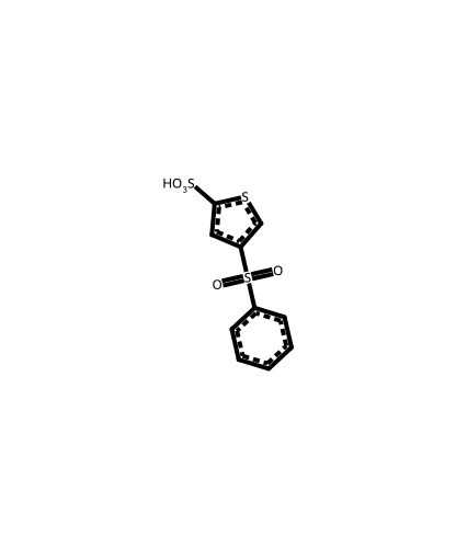 O=S(=O)(O)c1cc(S(=O)(=O)c2ccccc2)cs1